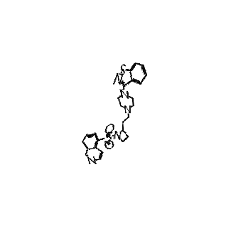 O=S(=O)(c1cccc2cnccc12)N1CCC1CCN1CCN(c2nsc3ccccc23)CC1